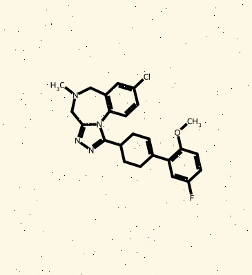 COc1ccc(F)cc1C1=CCC(c2nnc3n2-c2ccc(Cl)cc2CN(C)C3)CC1